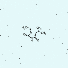 CC=C1C(=O)NC(=O)C1C(C)C